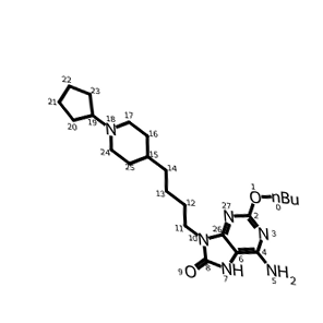 CCCCOc1nc(N)c2[nH]c(=O)n(CCCCC3CCN(C4CCCC4)CC3)c2n1